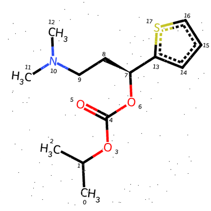 CC(C)OC(=O)O[C@@H](CCN(C)C)c1cccs1